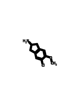 COc1cc2c(cc1Cl)CC(N)C2